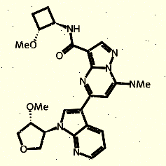 CNc1cc(-c2cn([C@H]3COC[C@@H]3OC)c3ncccc23)nc2c(C(=O)N[C@@H]3CC[C@H]3OC)cnn12